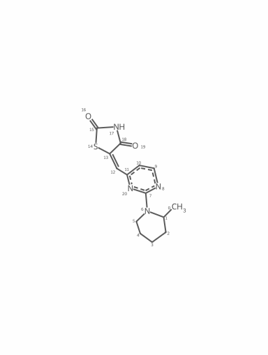 CC1CCCCN1c1nccc(C=C2SC(=O)NC2=O)n1